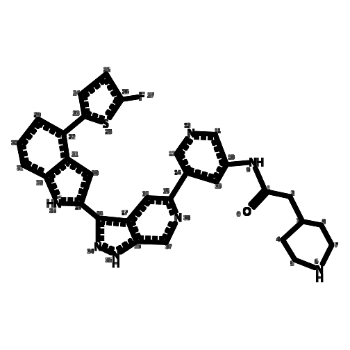 O=C(CC1CCNCC1)Nc1cncc(-c2cc3c(-c4cc5c(-c6ccc(F)s6)cccc5[nH]4)n[nH]c3cn2)c1